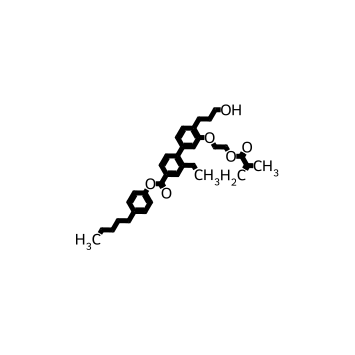 C=C(C)C(=O)OCCOc1cc(-c2ccc(C(=O)Oc3ccc(CCCCC)cc3)cc2CC)ccc1CCCO